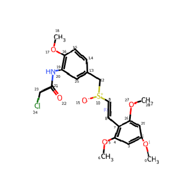 COc1cc(OC)c(/C=C/[S+]([O-])Cc2ccc(OC)c(NC(=O)CCl)c2)c(OC)c1